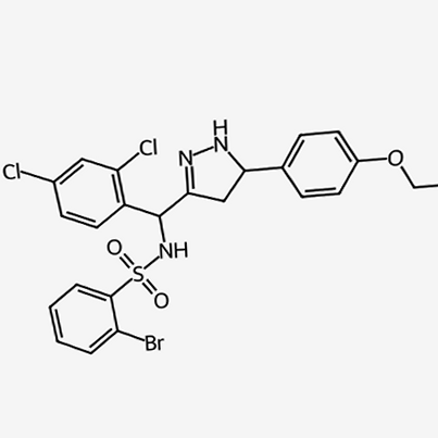 CCOc1ccc(C2CC(C(NS(=O)(=O)c3ccccc3Br)c3ccc(Cl)cc3Cl)=NN2)cc1